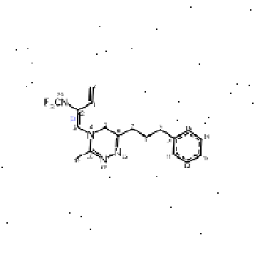 C=C/C(=C\N1CC(CCCc2ccccc2)=NN=C1C)NC(F)(F)F